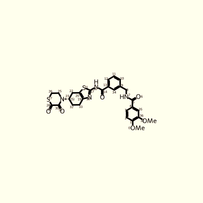 COc1ccc(C(=O)NCc2cccc(C(=O)Nc3nc4c(s3)C[C@@H](N3CCSC(=O)C3=O)CC4)c2)cc1OC